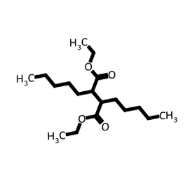 CCCCCC(C(=O)OCC)C(CCCCC)C(=O)OCC